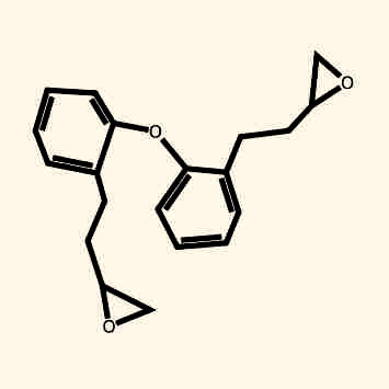 c1ccc(Oc2ccccc2CCC2CO2)c(CCC2CO2)c1